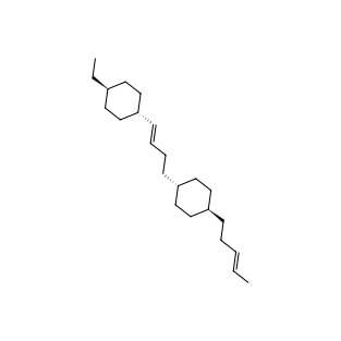 CC=CCC[C@H]1CC[C@H](CCC=C[C@H]2CC[C@H](CC)CC2)CC1